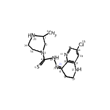 CC1CN(C(=S)N/N=C2/CCNc3cc(Cl)cnc32)CCN1